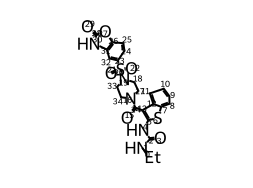 CCNC(=O)Nc1sc2ccccc2c1C(=O)N1CCN(S(=O)(=O)c2ccc3oc(=O)[nH]c3c2)CC1